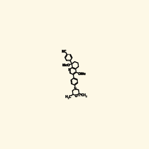 COc1c(-c2ccc(N3CC(C)O[C@H](C)C3)cc2)cnc2c1CCCC2(OC)c1ccc(C#N)cc1